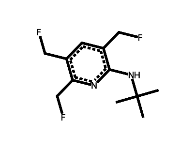 CC(C)(C)Nc1nc(CF)c(CF)cc1CF